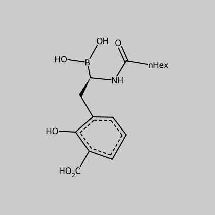 CCCCCCC(=O)N[C@@H](Cc1cccc(C(=O)O)c1O)B(O)O